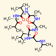 CC(C)C[C@H](NC(=O)CNC(C)C)C(=O)N[C@@H](C)C(=O)N[C@@H](C)C(=O)N[C@H](C(=O)N[C@@H](C)C(=O)C(C)C)C(C)C